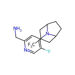 NCc1cc(N2C3CCC2CC(C(F)(F)F)C3)c(F)cn1